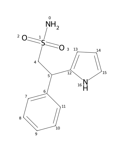 NS(=O)(=O)CC(c1ccccc1)c1ccc[nH]1